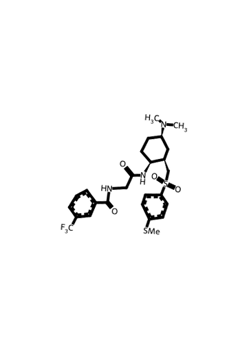 CSc1ccc(S(=O)(=O)C[C@@H]2C[C@H](N(C)C)CC[C@@H]2NC(=O)CNC(=O)c2cccc(C(F)(F)F)c2)cc1